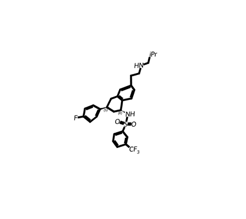 CC(C)CNCCc1ccc2c(c1)C[C@H](c1ccc(F)cc1)C[C@H]2NS(=O)(=O)c1cccc(C(F)(F)F)c1